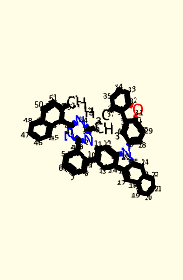 Cc1nc(-c2ccccc2-c2ccc3c(c2)c2cc4ccccc4cc2n3-c2ccc3oc4cccc(C)c4c3c2)nc(C2c3ccccc3C=CC2C)n1